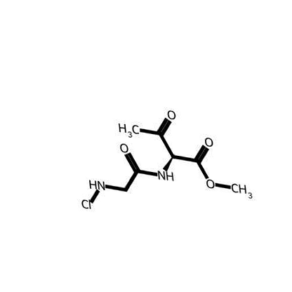 COC(=O)[C@@H](NC(=O)CNCl)C(C)=O